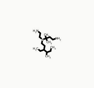 CCC(C)C(CC)CCN(CCN)C(C)(C)CCN